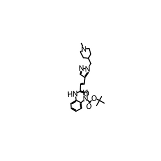 CN1CCC(Cn2cc(/C=C/C(=O)Nc3ccccc3NC(=O)OC(C)(C)C)cn2)CC1